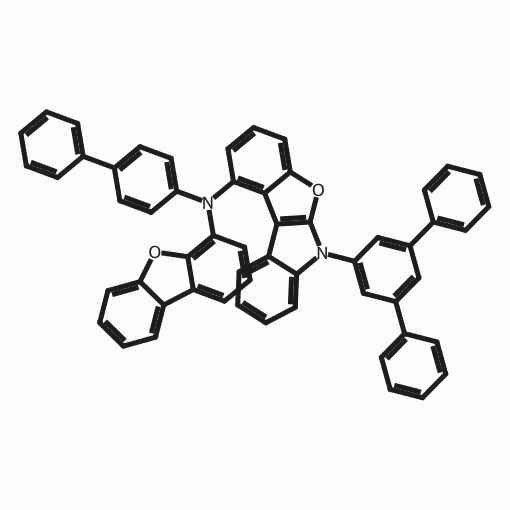 c1ccc(-c2ccc(N(c3cccc4c3oc3ccccc34)c3cccc4oc5c(c6ccccc6n5-c5cc(-c6ccccc6)cc(-c6ccccc6)c5)c34)cc2)cc1